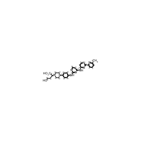 Cc1cccc(-c2nccc(Nc3ccnc(Nc4ccc(N5CCN(C(CCO)C(=O)O)CC5)cc4)n3)n2)n1